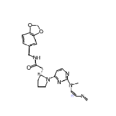 C=N/C=C\N(C)c1nccc(N2CCC[C@@H]2CC(=O)NCc2ccc3c(c2)OCO3)n1